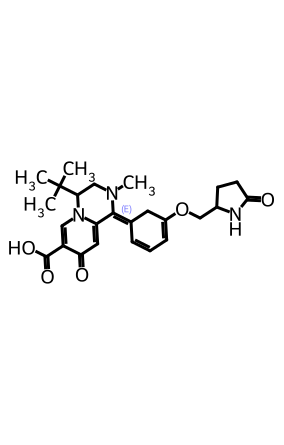 CN1CC(C(C)(C)C)n2cc(C(=O)O)c(=O)cc2/C1=C1\C=CC=C(OCC2CCC(=O)N2)C1